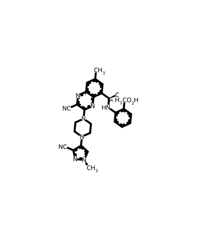 Cc1cc([C@@H](C)Nc2ccccc2C(=O)O)c2nc(N3CCN(c4cn(C)nc4C#N)CC3)c(C#N)nc2c1